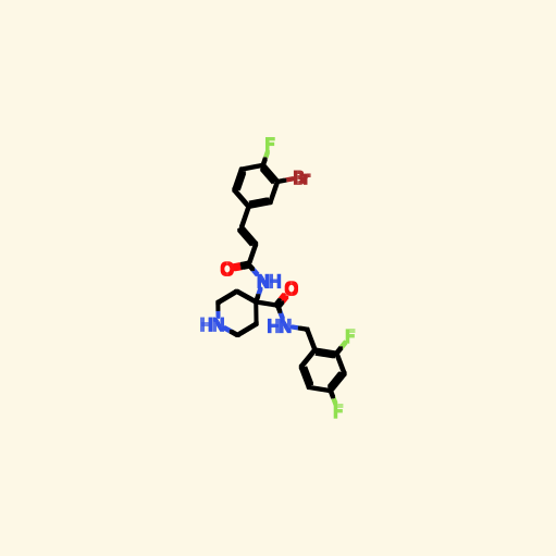 O=C(C=Cc1ccc(F)c(Br)c1)NC1(C(=O)NCc2ccc(F)cc2F)CCNCC1